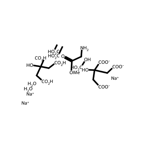 CC(=O)O.CC(=O)O.COC(=O)CN.O.O.O=C(O)CC(O)(CC(=O)O)C(=O)O.O=C(O)O.O=C([O-])CC(O)(CC(=O)[O-])C(=O)[O-].[Na+].[Na+].[Na+]